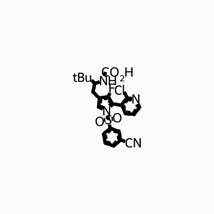 CC(C)(C)C(Cc1cn(S(=O)(=O)c2cccc(C#N)c2)c(-c2cccnc2Cl)c1F)NC(=O)O